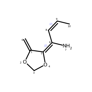 C=C1OCO/C1=C(N)/C=C\C